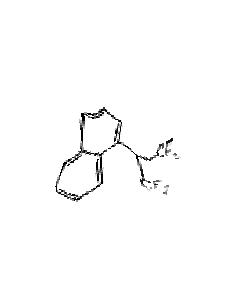 FC(F)(F)[C](c1cccc2ccccc12)C(F)(F)F